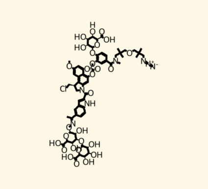 COc1ccc2c(OS(=O)(=O)Oc3cc(C(=O)N(C)CC(C)(C)COCC(C)(C)CN=[N+]=[N-])ccc3O[C@@H]3O[C@H](C(=O)O)[C@@H](O)[C@H](O)[C@H]3O)cc3c(c2c1)[C@H](CCl)CN3C(=O)c1cc2cc(/C(C)=N/O[C@@H]3OC(C(=O)O)[C@@H](O)[C@H](OC4OC(C(=O)O)[C@@H](O)[C@H](O)[C@H]4O)[C@H]3O)ccc2[nH]1